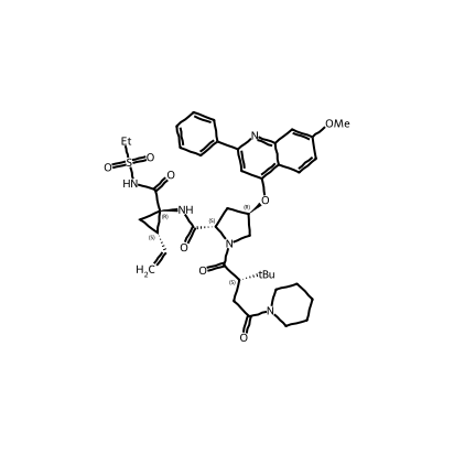 C=C[C@@H]1C[C@]1(NC(=O)[C@@H]1C[C@@H](Oc2cc(-c3ccccc3)nc3cc(OC)ccc23)CN1C(=O)[C@@H](CC(=O)N1CCCCC1)C(C)(C)C)C(=O)NS(=O)(=O)CC